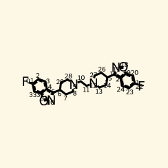 Fc1ccc2c(C3CCN(CCN4CCC(c5noc6cc(F)ccc56)CC4)CC3)noc2c1